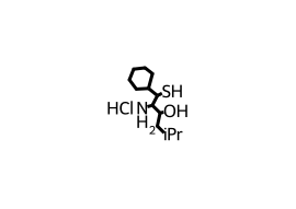 CC(C)CC(O)C(N)C(S)C1CCCCC1.Cl